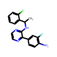 CC(Nc1nccnc1-c1ccc(N)c(F)c1)c1ccccc1Cl